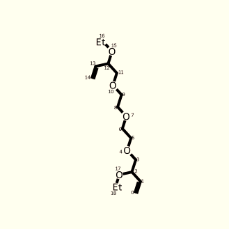 C=CC(COCCOCCOCC(C=C)OCC)OCC